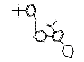 O=[N+]([O-])c1ccc(N2CCCCC2)cc1-c1cc(OCc2cccc(C(F)(F)F)c2)ncn1